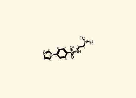 CCN(CC)CCNS(=O)(=O)c1ccc(-n2ccnc2)cc1